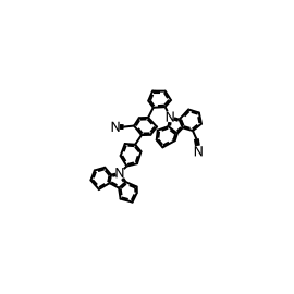 N#Cc1cc(-c2ccccc2-n2c3ccccc3c3c(C#N)cccc32)ccc1-c1ccc(-n2c3ccccc3c3ccccc32)cc1